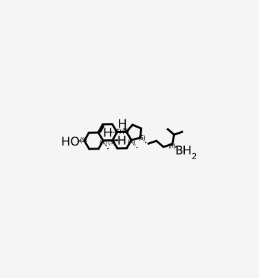 B[C@H](CCC[C@H]1CC[C@H]2[C@@H]3CC=C4C[C@@H](O)CC[C@]4(C)[C@H]3CC[C@]12C)C(C)C